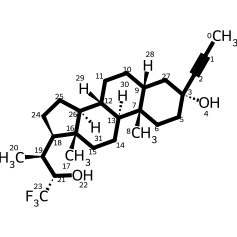 CC#C[C@@]1(O)CC[C@@]2(C)[C@H](CC[C@@H]3[C@@H]2CC[C@]2(C)[C@@H]([C@H](C)[C@H](O)C(F)(F)F)CC[C@@H]32)C1